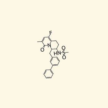 Cc1cc(F)c2n(c1=O)C(Cc1cccc(-c3ccccc3)c1)C(NS(C)(=O)=O)CC2